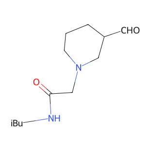 CCC(C)NC(=O)CN1CCCC(C=O)C1